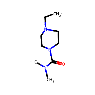 [CH2]CN1CCN(C(=O)N(C)C)CC1